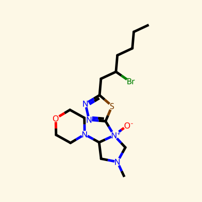 CCCCC(Br)Cc1nnc([N+]2([O-])CN(C)CC2N2CCOCC2)s1